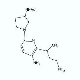 CC(=O)NC1CCN(c2ccc(N)c(N(C)CCN)n2)C1